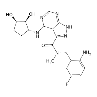 CN(CC1CC(F)=CC=C1N)C(=O)C1=NNC2=NC=NC(N[C@@H]3CC[C@@H](O)[C@H]3O)C21